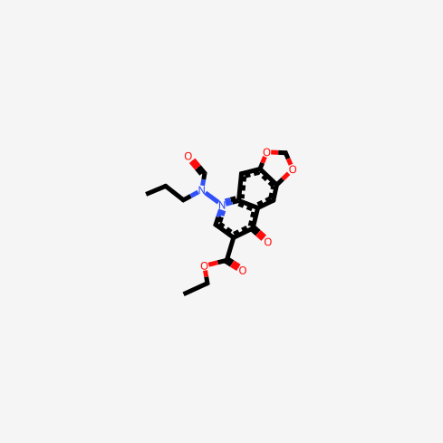 CCCN(C=O)n1cc(C(=O)OCC)c(=O)c2cc3c(cc21)OCO3